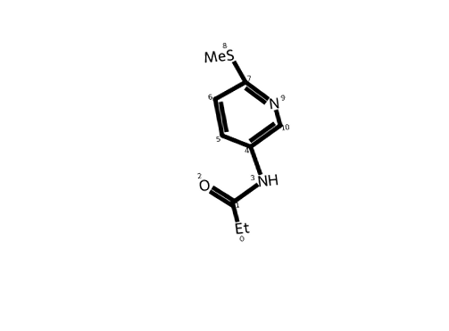 CCC(=O)Nc1ccc(SC)nc1